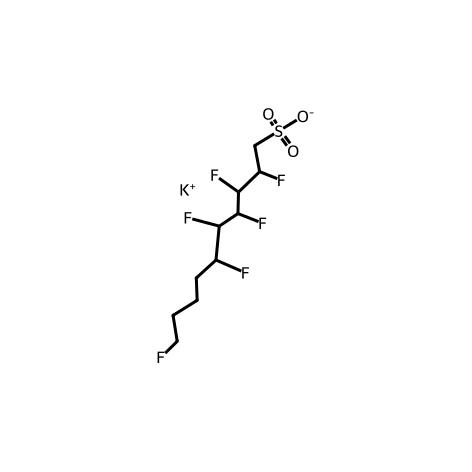 O=S(=O)([O-])CC(F)C(F)C(F)C(F)C(F)CCCCF.[K+]